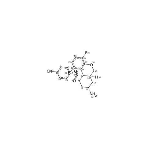 [C-]#[N+]c1ccc(S(=O)(=O)[C@@]23CC[C@@H](N)C[C@@H]2COc2c(F)ccc(F)c23)cc1